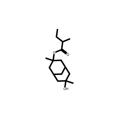 CCC(C)C(=O)OC1(C)CC2CC(CC(C)(O)C2)C1